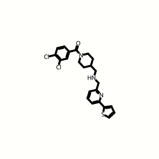 O=C(c1ccc(Cl)c(Cl)c1)N1CCC(CNCc2cccc(-c3cccs3)n2)CC1